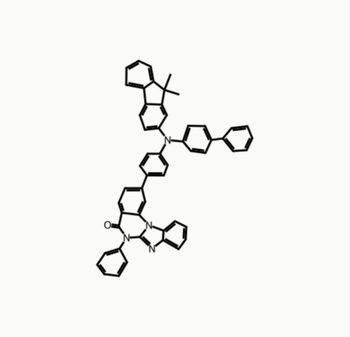 CC1(C)c2ccccc2-c2ccc(N(c3ccc(-c4ccccc4)cc3)c3ccc(-c4ccc5c(=O)n(-c6ccccc6)c6nc7ccccc7n6c5c4)cc3)cc21